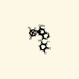 C=CC(=O)N1C[C@H]2C[C@@H](C1)[C@H]2Nc1cc2c(Nc3ccc(Cl)c(Cl)c3F)ncnc2cc1OC